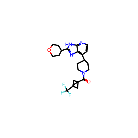 O=C(N1CCC(c2ccnc3[nH]c(C4CCOCC4)nc23)CC1)C12CC(C(F)(F)F)(C1)C2